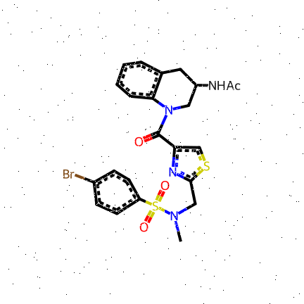 CC(=O)NC1Cc2ccccc2N(C(=O)c2csc(CN(C)S(=O)(=O)c3ccc(Br)cc3)n2)C1